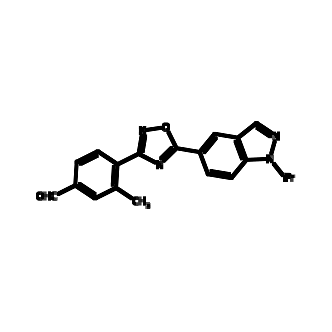 Cc1cc(C=O)ccc1-c1noc(-c2ccc3c(cnn3C(C)C)c2)n1